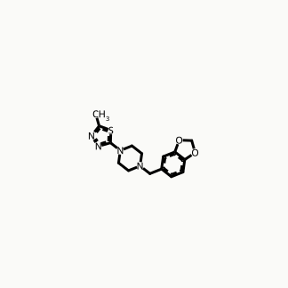 Cc1nnc(N2CCN(Cc3ccc4c(c3)OCO4)CC2)s1